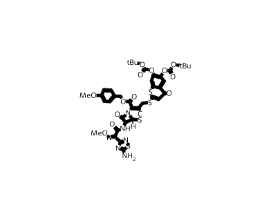 CO/N=C(\C(=O)NC1C(=O)N2C(C(=O)OCc3ccc(OC)cc3)=C(CSc3cc(=O)c4cc(OC(=O)OC(C)(C)C)c(OC(=O)OC(C)(C)C)cc4s3)CS[C@@H]12)c1nsc(N)n1